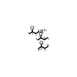 CCC(C)[O-].CCC(C)[O-].CCC(C)[O-].[B+3]